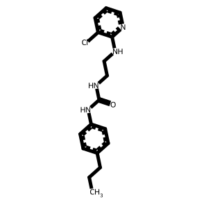 CCCc1ccc(NC(=O)NCCNc2ncccc2Cl)cc1